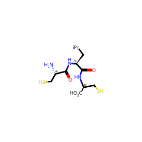 CC(C)C[C@H](NC(=O)[C@@H](N)CS)C(=O)N[C@@H](CS)C(=O)O